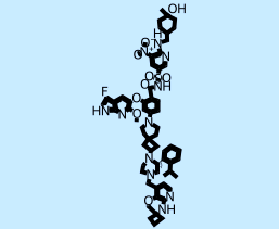 COc1nc2[nH]cc(F)c2cc1Oc1cc(N2CCC3(CC2)CC(N2CCN(Cc4ccnc5c4OCC4(CCC4)N5)C[C@H]2c2ccccc2C(C)C)C3)ccc1C(=O)NS(=O)(=O)c1cnc(NCC2CCC(C)(O)CC2)c([N+](=O)[O-])c1